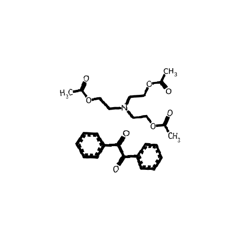 CC(=O)OCCN(CCOC(C)=O)CCOC(C)=O.O=C(C(=O)c1ccccc1)c1ccccc1